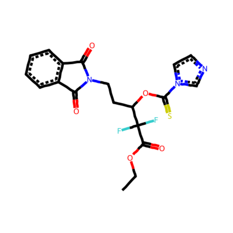 CCOC(=O)C(F)(F)C(CCN1C(=O)c2ccccc2C1=O)OC(=S)n1ccnc1